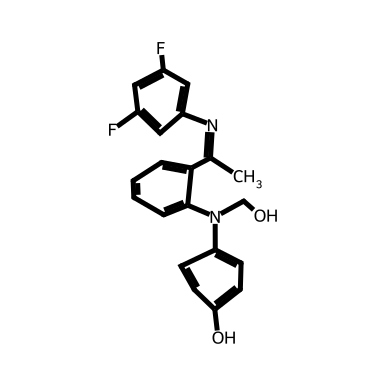 CC(=Nc1cc(F)cc(F)c1)c1ccccc1N(CO)c1ccc(O)cc1